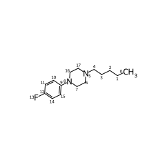 CCCCCN1CCN(c2ccc(F)cc2)CC1